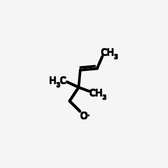 CC=CC(C)(C)C[O]